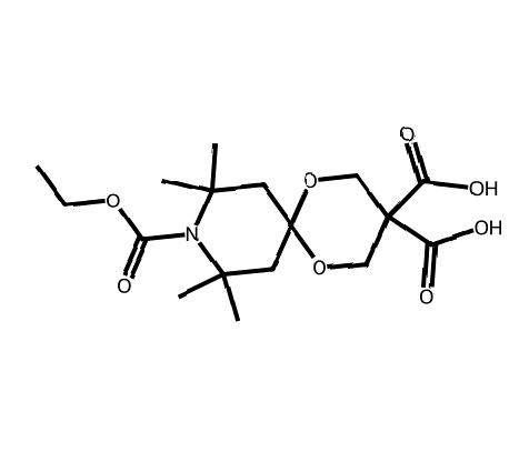 CCOC(=O)N1C(C)(C)CC2(CC1(C)C)OCC(C(=O)O)(C(=O)O)CO2